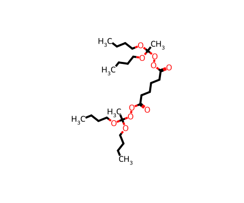 CCCCOC(C)(OCCCC)OOC(=O)CCCCC(=O)OOC(C)(OCCCC)OCCCC